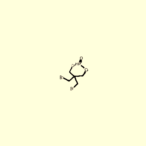 O=[PH]1OCC(CBr)(CBr)CO1